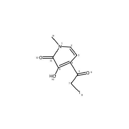 Cn1ccc(C(=O)CI)c(O)c1=O